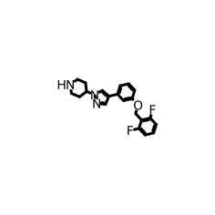 Fc1cccc(F)c1COc1cccc(-c2cnn(C3CCNCC3)c2)c1